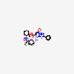 COC(=O)C1(NC(=O)C2(OCc3cc(=O)n4nc(-c5ccccc5)nc4[nH]3)CCCCC2)CCCCC1